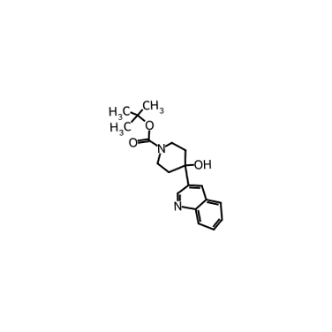 CC(C)(C)OC(=O)N1CCC(O)(c2cnc3ccccc3c2)CC1